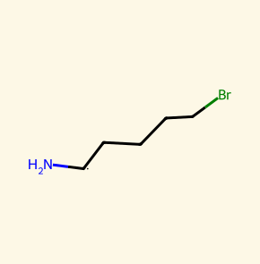 N[CH]CCCCBr